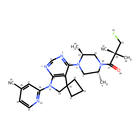 C[C@@H]1CN(c2ncnc3c2C2(CCC2)CN3c2cc(C#N)ccn2)[C@@H](C)CN1C(=O)[C@](C)(C#N)CF